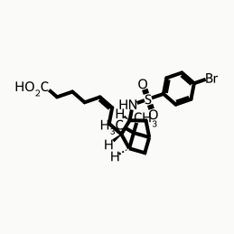 CC1(C)C2C[C@H](NS(=O)(=O)c3ccc(Br)cc3)[C@@H](C/C=C\CCCC(=O)O)[C@@H]1C2